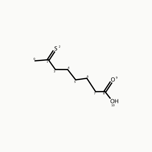 CC(=S)CCCCCC(=O)O